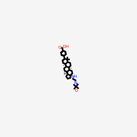 CC1(C)C(c2ccc(C(=O)O)cc2)=CC[C@@]2(C)C1CC[C@@]1(C)C3CC[C@@]4(NCCN5CC6(COC6)C5)CCCC4[C@H]3CCC12